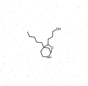 CCCCCC12CCNC(C1)OC2CCCO